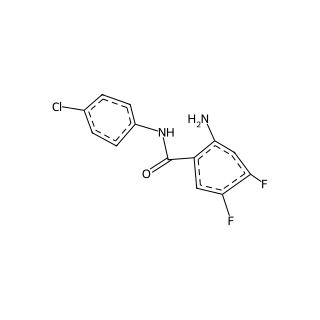 Nc1cc(F)c(F)cc1C(=O)Nc1ccc(Cl)cc1